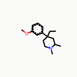 CCC1(c2cccc(OC)c2)CCN(C)C(C)C1